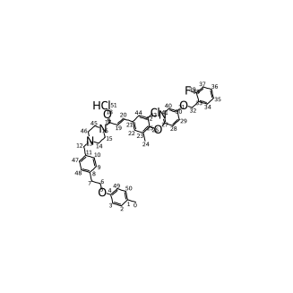 Cc1ccc(OCCc2ccc(CN3CCN(C(=O)C=Cc4cc(C)c(Oc5ccc(OCc6ccccc6F)cn5)c(Cl)c4)CC3)cc2)cc1.Cl